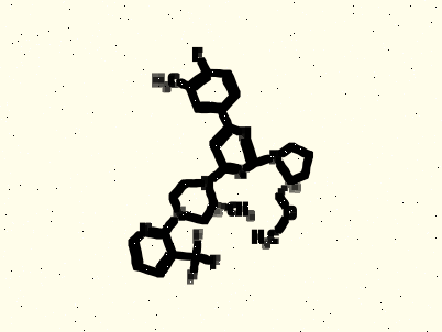 COC[C@H]1CCCN1c1nc(-c2ccc(F)c(C)c2)cc(N2CCN(c3ncccc3C(F)(F)F)C[C@H]2C)n1